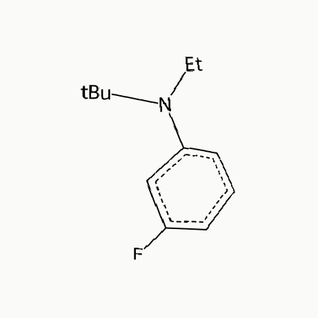 CCN(c1cccc(F)c1)C(C)(C)C